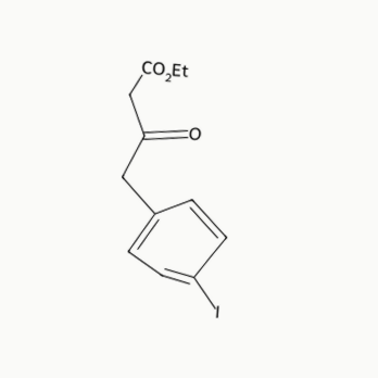 CCOC(=O)CC(=O)Cc1ccc(I)cc1